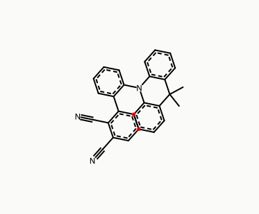 CC1(C)c2ccccc2N(c2ccccc2-c2cccc(C#N)c2C#N)c2ccccc21